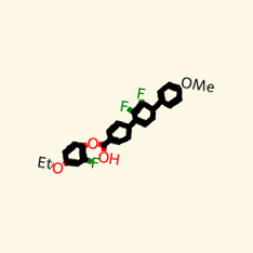 CCOc1ccc(OC(O)C2=CCC(C3=CCC(c4ccc(OC)cc4)C(F)=C3F)C=C2)c(F)c1